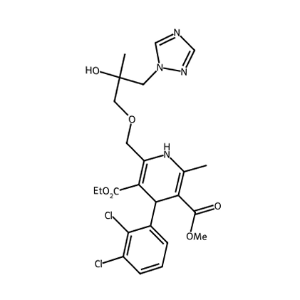 CCOC(=O)C1=C(COCC(C)(O)Cn2cncn2)NC(C)=C(C(=O)OC)C1c1cccc(Cl)c1Cl